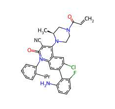 C=CC(=O)N1CCN(c2c(C#N)c(=O)n(-c3ccccc3C(C)C)c3cc(-c4c(N)cccc4F)c(Cl)cc23)[C@@H](C)C1